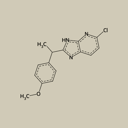 COc1ccc(C(C)c2nc3ccc(Cl)nc3[nH]2)cc1